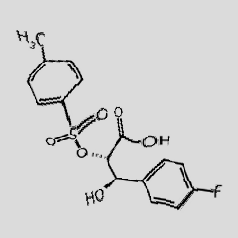 Cc1ccc(S(=O)(=O)O[C@H](C(=O)O)[C@H](O)c2ccc(F)cc2)cc1